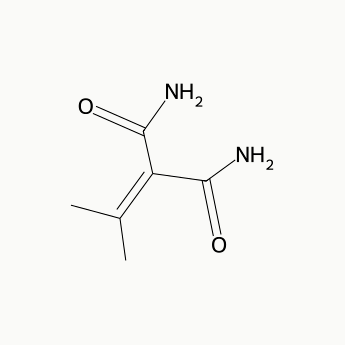 CC(C)=C(C(N)=O)C(N)=O